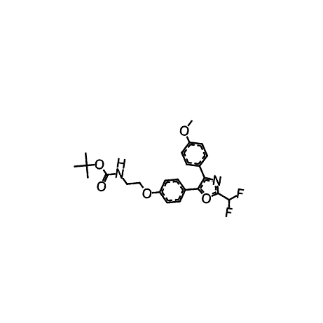 COc1ccc(-c2nc(C(F)F)oc2-c2ccc(OCCNC(=O)OC(C)(C)C)cc2)cc1